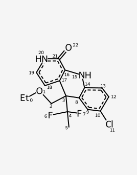 CCOCC1(C(C)(F)F)c2cc(Cl)ccc2Nc2c1cc[nH]c2=O